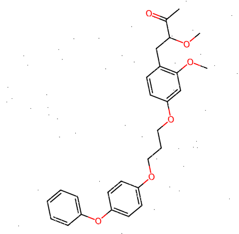 COc1cc(OCCCOc2ccc(Oc3ccccc3)cc2)ccc1CC(OC)C(C)=O